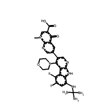 BC(B)(B)Nc1cc(F)c(F)c2c1[nH]c1ncc(-c3cnc4c(c3)c(=O)c(C(=O)O)cn4C)c(N3CCOCC3)c12